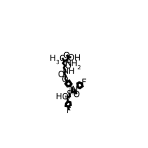 CC(CC(=O)CNC(=O)COc1ccc([C@@H]2[C@@H](SC[C@@H](O)c3ccc(F)cc3)C(=O)N2c2ccc(F)cc2)cc1)[C@@H](N)C(=O)O